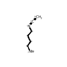 C=C=NCCCCCCCC